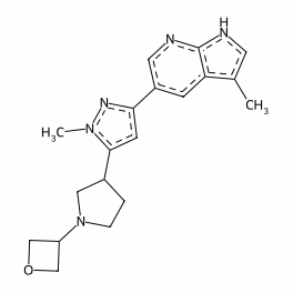 Cc1c[nH]c2ncc(-c3cc(C4CCN(C5COC5)C4)n(C)n3)cc12